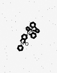 O=C1c2cc(N3c4ccccc4[Si]4(c5ccccc5-c5ccccc54)c4ccccc43)ccc2CN1c1ccccc1